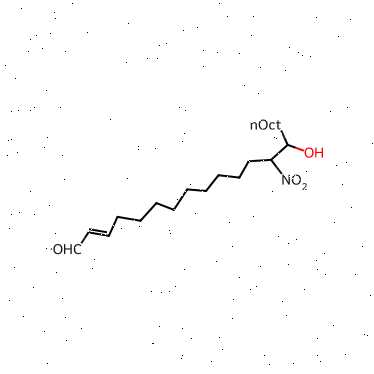 CCCCCCCCC(O)C(CCCCCCCCCC=C[C]=O)[N+](=O)[O-]